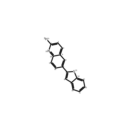 [2H]c1ccc2cc(-c3cc4ccccc4s3)ccc2n1